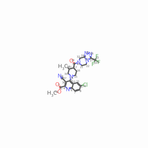 COC(=O)c1nc2ccc(Cl)cc2c(N2CCC(C(=O)N3CCn4c(nnc4C(F)(F)F)C3)C(C)C2)c1C#N